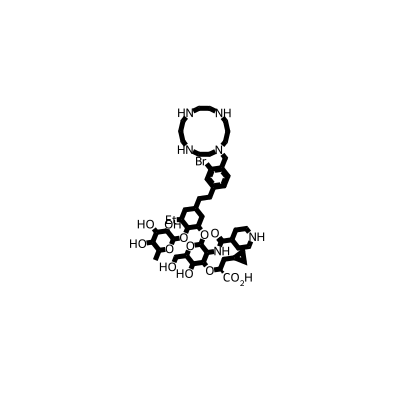 CCC1CC(CCc2ccc(CN3CCCNCCNCCCNCC3)c(Br)c2)CC(OC2OC(CO)C(O)C(O[C@@H](CC3CC3)C(=O)O)C2NC(=O)C2CCNCC2)C1OC1OC(C)C(O)C(O)C1O